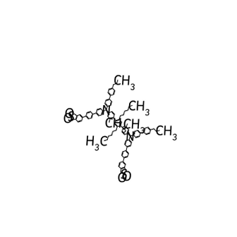 CCCCCCc1cc(-c2ccc(N(c3ccc(-c4ccc(CCC)cc4)cc3)c3ccc(-c4ccc(-c5ccc6c(c5)CS(=O)(=O)C6)cc4)cc3)cc2C)c(CCCCCC)cc1-c1ccc(N(c2ccc(-c3ccc(CCC)cc3)cc2)c2ccc(-c3ccc(-c4ccc5c(c4)CS(=O)(=O)C5)cc3)cc2)cc1C